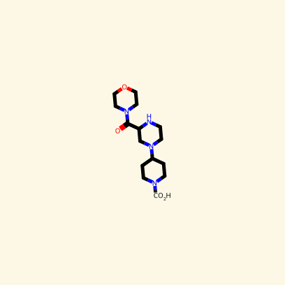 O=C(O)N1CCC(N2CCNC(C(=O)N3CCOCC3)C2)CC1